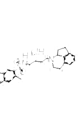 Cc1cc(S(=O)(=O)NCCCCN2CCc3cccc4c3C2CC4)c(C)cc1Cl.Cl